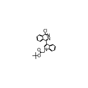 CC(C)(C)OC(=O)Cn1cc(-c2nnc(Cl)c3ccccc23)c2ccccc21